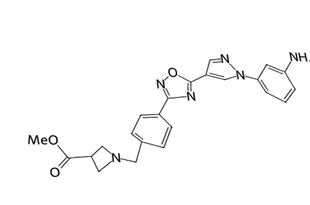 COC(=O)C1CN(Cc2ccc(-c3noc(-c4cnn(-c5cccc(N)c5)c4)n3)cc2)C1